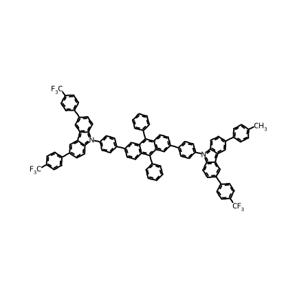 Cc1ccc(-c2ccc3c(c2)c2cc(-c4ccc(C(F)(F)F)cc4)ccc2n3-c2ccc(-c3ccc4c(-c5ccccc5)c5cc(-c6ccc(-n7c8ccc(-c9ccc(C(F)(F)F)cc9)cc8c8cc(-c9ccc(C(F)(F)F)cc9)ccc87)cc6)ccc5c(-c5ccccc5)c4c3)cc2)cc1